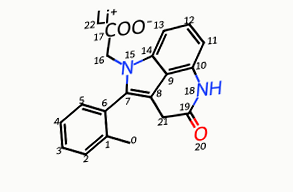 Cc1ccccc1-c1c2c3c(cccc3n1CC(=O)[O-])NC(=O)C2.[Li+]